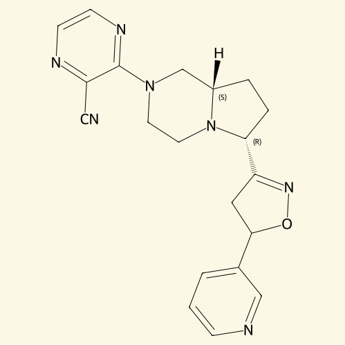 N#Cc1nccnc1N1CCN2[C@@H](CC[C@@H]2C2=NOC(c3cccnc3)C2)C1